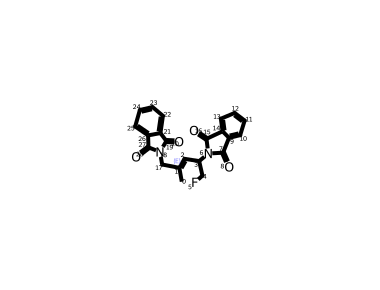 C/C(=C\C(CF)N1C(=O)c2ccccc2C1=O)CN1C(=O)c2ccccc2C1=O